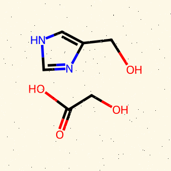 O=C(O)CO.OCc1c[nH]cn1